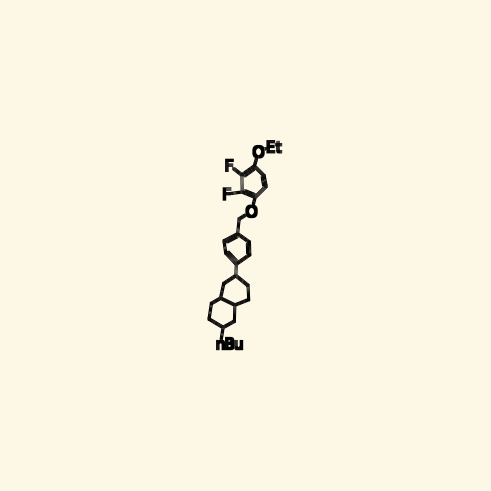 CCCCC1CCC2CC(c3ccc(COc4ccc(OCC)c(F)c4F)cc3)CCC2C1